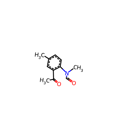 CC(=O)c1cc(C)ccc1N(C)C=O